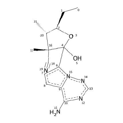 CC[C@H]1OC(O)(c2ccc3c(N)ncnn23)[C@](C)(C#N)[C@@H]1C